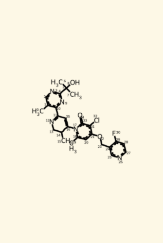 Cc1cnc(C(C)(C)O)nc1C1=NCC(C)C(n2c(C)cc(OCc3cnccc3F)c(Cl)c2=O)=C1